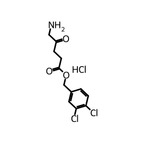 Cl.NCC(=O)CCC(=O)OCc1ccc(Cl)c(Cl)c1